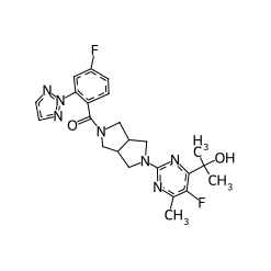 Cc1nc(N2CC3CN(C(=O)c4ccc(F)cc4-n4nccn4)CC3C2)nc(C(C)(C)O)c1F